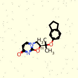 CC(C)(Oc1ccc2c(c1)CCC2)[C@@H]1Cn2ccc(=O)nc2O1